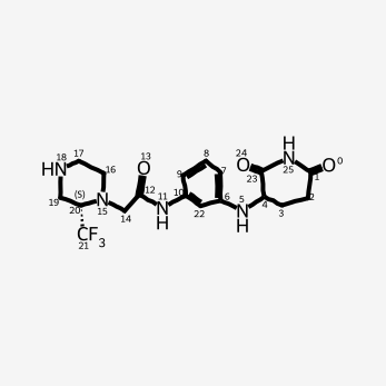 O=C1CCC(Nc2cccc(NC(=O)CN3CCNC[C@H]3C(F)(F)F)c2)C(=O)N1